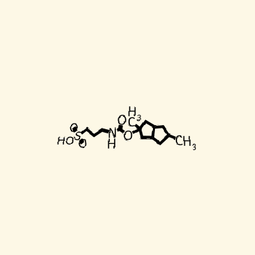 CC1CC2CC(C)(OC(=O)NCCCS(=O)(=O)O)CC2C1